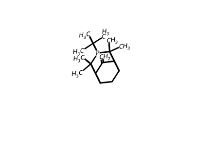 C=C1C2CCCC1C(C)(C)P(C(C)(C)C)C2(C)C